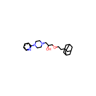 OC(COCCC12CC3CC(CC(C3)C1)C2)CN1CCN(c2ccccn2)CC1